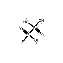 O=P(O)(O)P(=O)(O)F